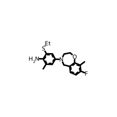 CCSc1cc(N2CCOc3c(ccc(F)c3C)C2)cc(C)c1N